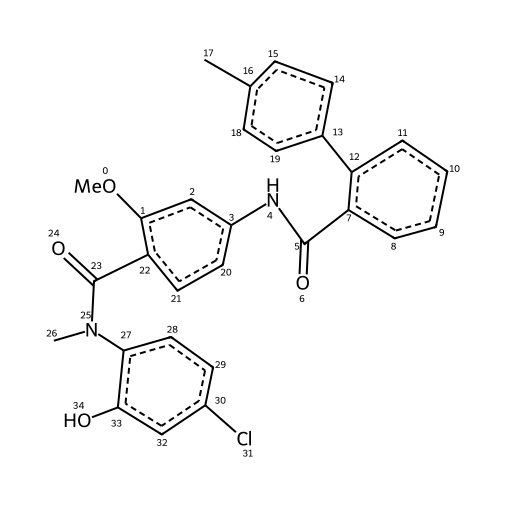 COc1cc(NC(=O)c2ccccc2-c2ccc(C)cc2)ccc1C(=O)N(C)c1ccc(Cl)cc1O